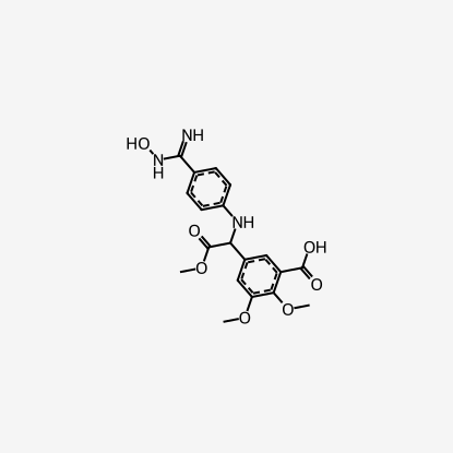 COC(=O)C(Nc1ccc(C(=N)NO)cc1)c1cc(OC)c(OC)c(C(=O)O)c1